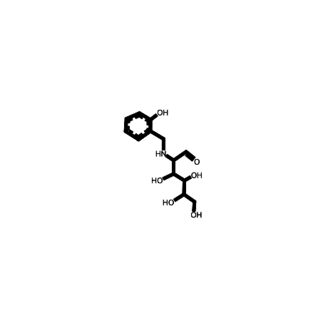 O=CC(NCc1ccccc1O)C(O)C(O)C(O)CO